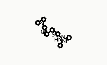 C1=CCCC(C2N=C(c3ccc4c(c3)sc3c(-c5cccc6oc7cc(-n8c9ccccc9c9ccccc98)ccc7c56)cccc34)NC(c3ccccc3)N2)=C1